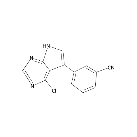 N#Cc1cccc(-c2c[nH]c3ncnc(Cl)c23)c1